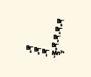 [Br-].[Br-].[Br-].[Br-].[Br-].[Br-].[Br-].[Mn+7]